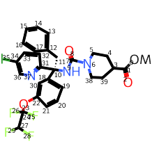 COC(=O)C1CCN(C(=O)N[C@@](Cc2ccccc2)(c2cccc(OC(F)(F)C(F)F)c2)c2ccc(Cl)cn2)CC1